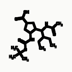 CCC(CC)C(NC(C)=O)C1CC(C(=O)O)CC1NC(=O)OC(C)(C)C